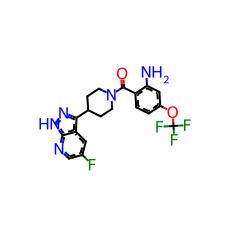 Nc1cc(OC(F)(F)F)ccc1C(=O)N1CCC(c2n[nH]c3ncc(F)cc23)CC1